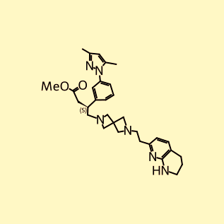 COC(=O)C[C@H](CN1CC2(CN(CCc3ccc4c(n3)NCCC4)C2)C1)c1cccc(-n2nc(C)cc2C)c1